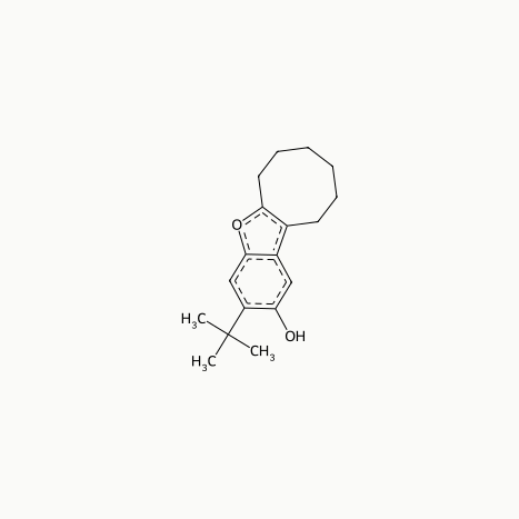 CC(C)(C)c1cc2oc3c(c2cc1O)CCCCCC3